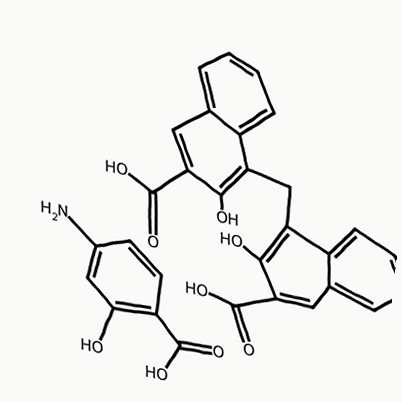 Nc1ccc(C(=O)O)c(O)c1.O=C(O)c1cc2ccccc2c(Cc2c(O)c(C(=O)O)cc3ccccc23)c1O